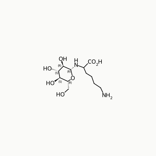 NCCCCC(N[C@@H]1O[C@H](CO)[C@@H](O)[C@H](O)[C@H]1O)C(=O)O